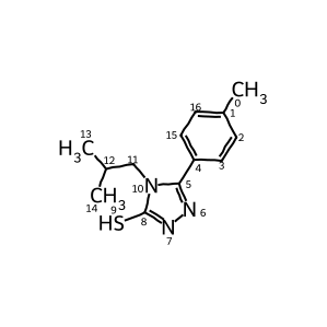 Cc1ccc(-c2nnc(S)n2CC(C)C)cc1